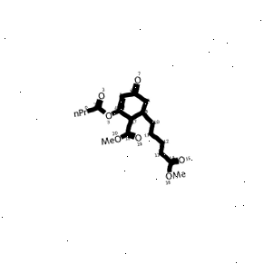 CCCC(=O)OC1=CC(=O)CC(CCCCC(=O)OC)C1C(=O)OC